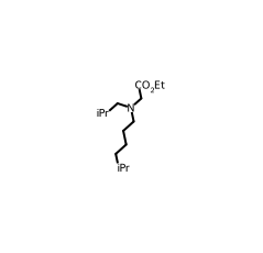 CCOC(=O)CN(CCCCC(C)C)CC(C)C